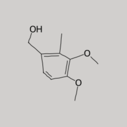 COc1ccc(CO)c(C)c1OC